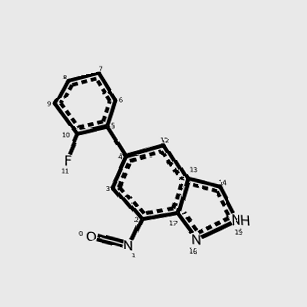 O=Nc1cc(-c2ccccc2F)cc2c[nH]nc12